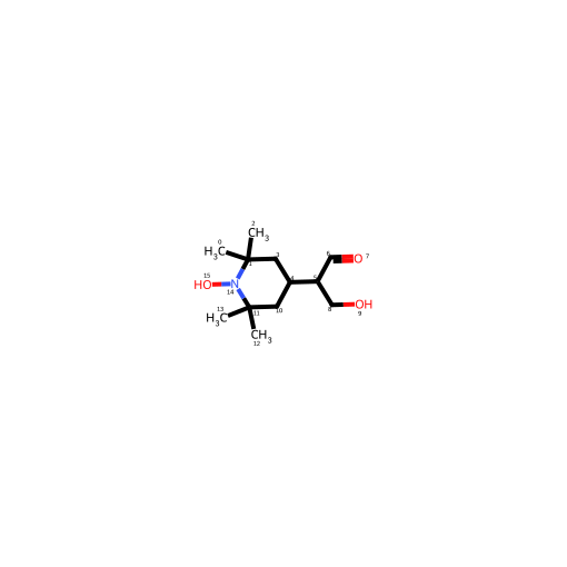 CC1(C)CC(C(C=O)CO)CC(C)(C)N1O